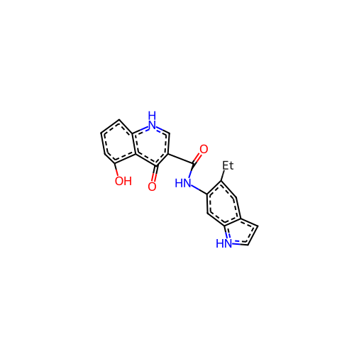 CCc1cc2cc[nH]c2cc1NC(=O)c1c[nH]c2cccc(O)c2c1=O